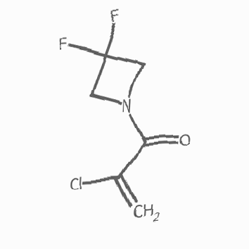 C=C(Cl)C(=O)N1CC(F)(F)C1